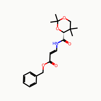 CC1(C)OCC(C)(C)[C@H](C(=O)N/C=C/C(=O)OCc2ccccc2)O1